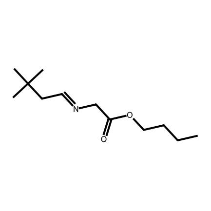 CCCCOC(=O)CN=CCC(C)(C)C